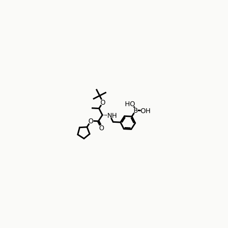 CC(OC(C)(C)C)[C@H](NCc1cccc(B(O)O)c1)C(=O)OC1CCCC1